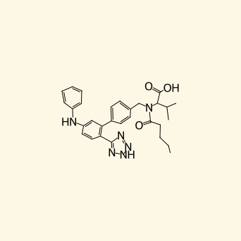 CCCCC(=O)N(Cc1ccc(-c2cc(Nc3ccccc3)ccc2-c2nn[nH]n2)cc1)C(C(=O)O)C(C)C